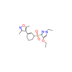 CCOc1cn(CC)nc1S(=O)(=O)C1C=C(c2c(C)noc2C)CCC1